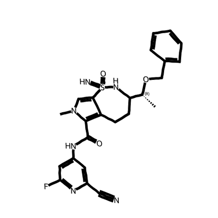 C[C@@H](OCc1ccccc1)C1CCc2c(cn(C)c2C(=O)Nc2cc(F)nc(C#N)c2)S(=N)(=O)N1